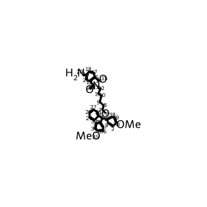 COc1ccc(C(OCCCCCCN2C(=O)c3ccc(N)cc3C2=O)(c2ccccc2)c2ccc(OC)cc2)cc1